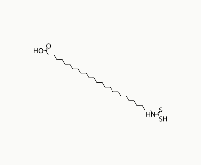 O=C(O)CCCCCCCCCCCCCCCCCCCCCCCCCCNC(=S)S